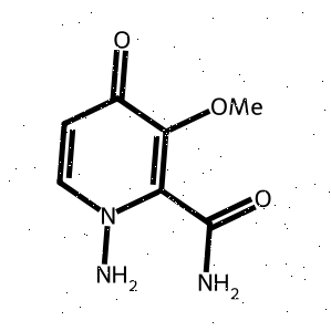 COc1c(C(N)=O)n(N)ccc1=O